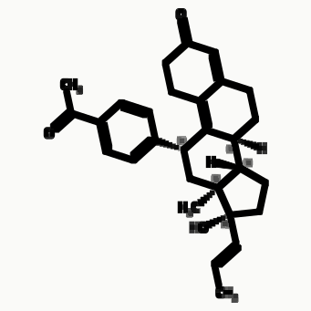 CC=C[C@]1(O)CC[C@H]2[C@@H]3CCC4=CC(=O)CCC4=C3[C@@H](c3ccc(C(C)=O)cc3)C[C@@]21C